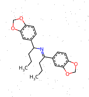 CCCC(=NC(CCC)c1ccc2c(c1)OCO2)c1ccc2c(c1)OCO2